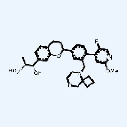 COc1cc(-c2ccc(C3CCc4ccc([C@H](O)[C@H](C)C(=O)O)cc4O3)cc2CN2CCOCC23CCC3)c(F)cn1